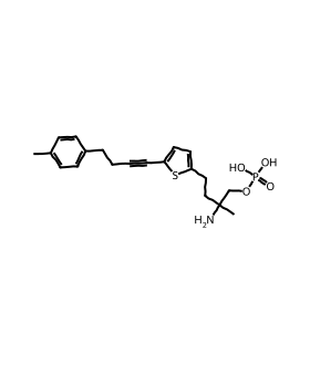 Cc1ccc(CCC#Cc2ccc(CCC(C)(N)COP(=O)(O)O)s2)cc1